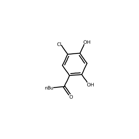 CCCCC(=O)c1cc(Cl)c(O)cc1O